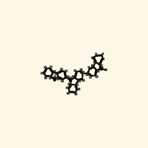 Cn1c2ccccc2c2cc(-c3ccc4c(c3)c3ccccc3n4-c3ccc4c(c3)sc3ccccc34)ccc21